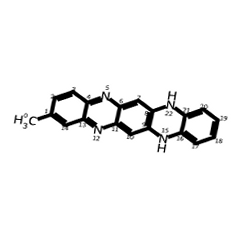 Cc1ccc2nc3cc4c(cc3nc2c1)Nc1ccccc1N4